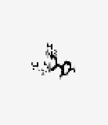 NCC(CN)c1ccc(I)cc1I